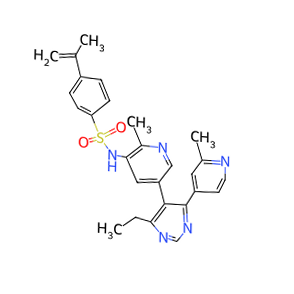 C=C(C)c1ccc(S(=O)(=O)Nc2cc(-c3c(CC)ncnc3-c3ccnc(C)c3)cnc2C)cc1